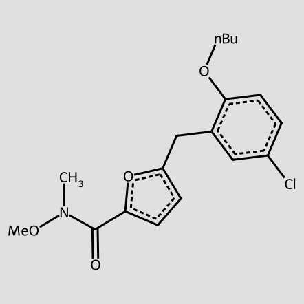 CCCCOc1ccc(Cl)cc1Cc1ccc(C(=O)N(C)OC)o1